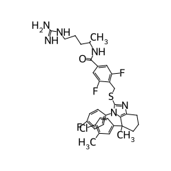 Cc1cc(C2(C)CCCc3nc(SCc4c(F)cc(C(=O)N[C@H](C)CCCNC(=N)N)cc4F)n(-c4ccc(F)cc4)c32)ccc1Cl